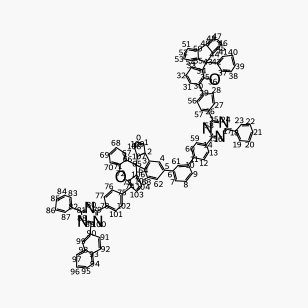 C1=CC2c3cc(-c4cccc(-c5ccc(-c6nc(-c7ccccc7)nc(-c7ccc(-c8cccc9c8Oc8ccccc8C98c9ccccc9-c9ccccc98)cc7)n6)cc5)c4)ccc3C3(c4ccccc4Oc4c(-c5ccc(-c6nc(-c7ccccc7)nc(-c7ccc8ccccc8c7)n6)cc5)cccc43)C2C=C1